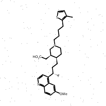 COc1ccc2nccc([C@@H](F)CC[C@@H]3CCN(CCCCc4sccc4C)C[C@@H]3CC(=O)O)c2c1